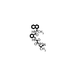 C=C(C#N)CNC(=O)C(=O)NCc1ccccc1C(=O)N[C@H](C)c1cccc2ccccc12